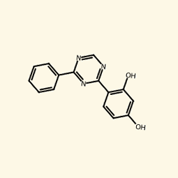 Oc1ccc(-c2ncnc(-c3ccccc3)n2)c(O)c1